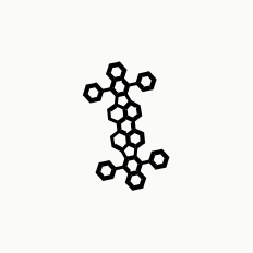 C1=C2c3c(c(-c4ccccc4)c4ccccc4c3-c3ccccc3)-c3ccc4c(c(c5c6c7c(ccc64)-c4c(c(-c6ccccc6)c6ccccc6c4-c4ccccc4)C7=CC5)C1)c32